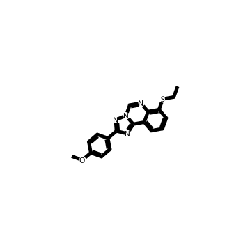 CCSc1cccc2c1ncn1nc(-c3ccc(OC)cc3)nc21